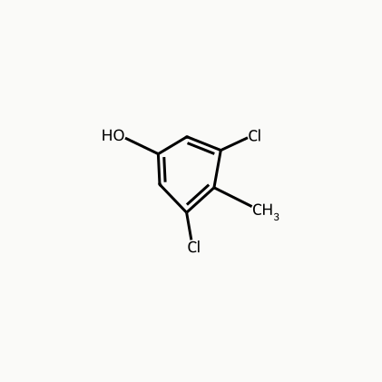 Cc1c(Cl)cc(O)cc1Cl